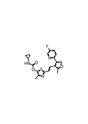 Cc1nc(/C=C/c2c(-c3ccc(F)cn3)noc2C)sc1OC(=O)NC1CC1